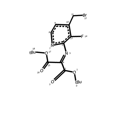 CC(C)(C)OC(=O)C(=Nc1nccc(CBr)c1F)C(=O)OC(C)(C)C